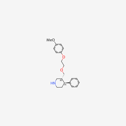 COc1ccc(OCCOC[C@H]2CNCC[C@@H]2c2ccccc2)cc1